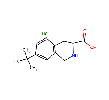 CC(C)(C)c1ccc2c(c1)CNC(C(=O)O)C2.Cl